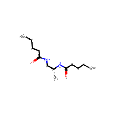 CCCCCCCCCCCCCC(=O)NC[C@@H](C)NC(=O)CCCCCCCCCCCCC